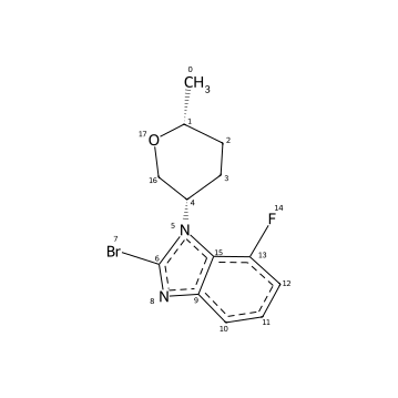 C[C@@H]1CC[C@H](n2c(Br)nc3cccc(F)c32)CO1